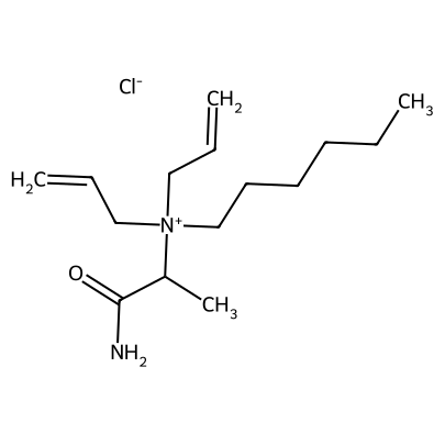 C=CC[N+](CC=C)(CCCCCC)C(C)C(N)=O.[Cl-]